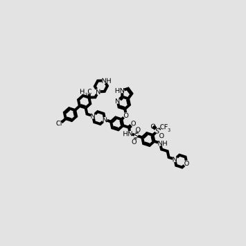 CC1(CN2CCNCC2)CCC(c2ccc(Cl)cc2)=C(CN2CCN(c3ccc(C(=O)NS(=O)(=O)c4ccc(NCCCN5CCOCC5)c(S(=O)(=O)C(F)(F)F)c4)c(Oc4cnc5[nH]ccc5c4)c3)CC2)C1